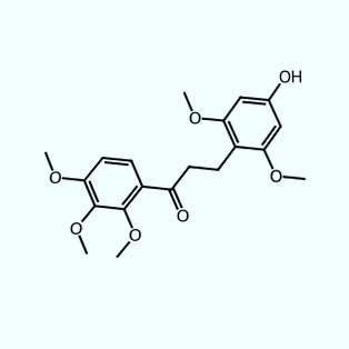 COc1cc(O)cc(OC)c1CCC(=O)c1ccc(OC)c(OC)c1OC